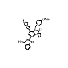 COc1ccc(CN2C(=O)C3(CCC3)c3cc(/C(=C/C=N)Nc4ccccc4)cc(N4CC5(CN(C)C5)C4)c32)cc1